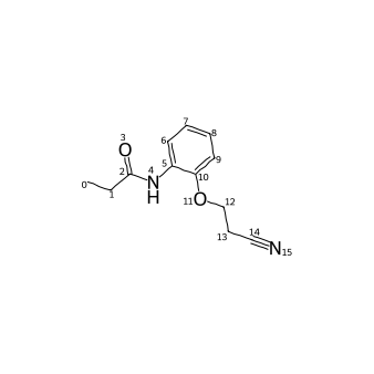 CCC(=O)Nc1ccccc1OCCC#N